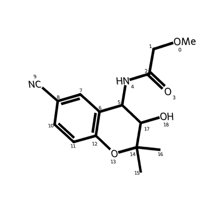 COCC(=O)NC1c2cc(C#N)ccc2OC(C)(C)C1O